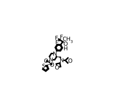 C[C@@](O)(c1ccc(N2CCN(S(=O)(=O)c3cccs3)C[C@@H]2CN(C2COC2)C2COC2)cc1)C(F)(F)F